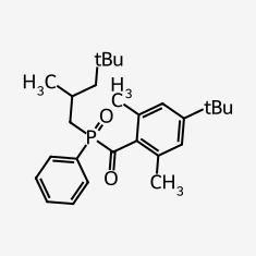 Cc1cc(C(C)(C)C)cc(C)c1C(=O)P(=O)(CC(C)CC(C)(C)C)c1ccccc1